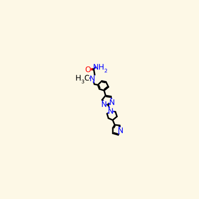 CN(CC(N)=O)Cc1cccc(-c2cnc(N3CCC(c4cccnc4)CC3)nc2)c1